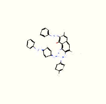 O=[N+]([O-])c1ccc(N=Nc2c(S(=O)(=O)O)cc3cc(S(=O)(=O)O)c(N=Nc4ccccc4)c(O)c3c2N=NN=C2C=CC(=NNc3ccccc3)C=C2)cc1